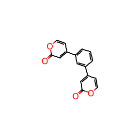 O=c1cc(-c2cccc(-c3ccoc(=O)c3)c2)cco1